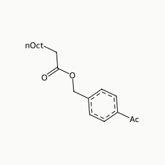 CCCCCCCCCC(=O)OCc1ccc(C(C)=O)cc1